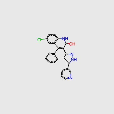 OC1Nc2ccc(Cl)cc2C(c2ccccc2)=C1C1=NNC(c2cccnc2)C1